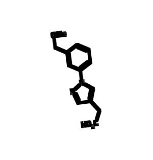 COCc1cccc(-n2cc(CC(=O)O)cn2)c1